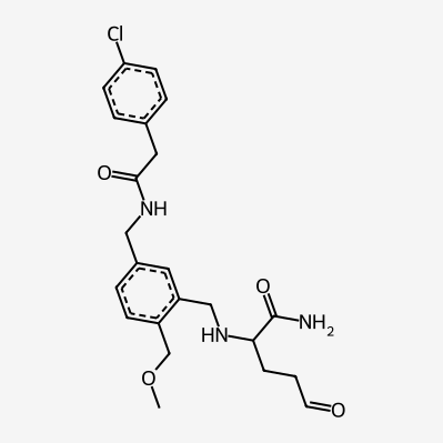 COCc1ccc(CNC(=O)Cc2ccc(Cl)cc2)cc1CNC(CCC=O)C(N)=O